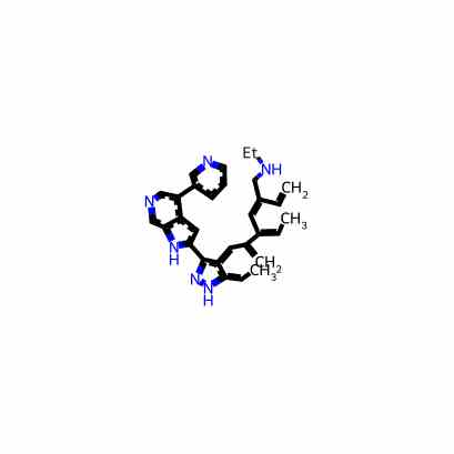 C=C/C(=C\C(=C/C)C(=C)/C=c1/c(-c2cc3c(-c4cccnc4)cncc3[nH]2)n[nH]/c1=C/C)CNCC